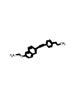 CCCc1ccc(C#Cc2ccc3cc(OCC)ccc3c2)cc1